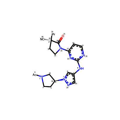 CC(=O)N1CC[C@H](n2cc(Nc3nccc(N4CC[C@@](C#N)(C(C)C)C4=O)n3)cn2)C1